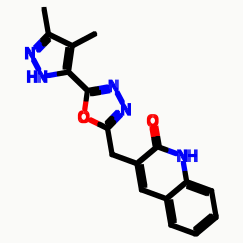 Cc1n[nH]c(-c2nnc(Cc3cc4ccccc4[nH]c3=O)o2)c1C